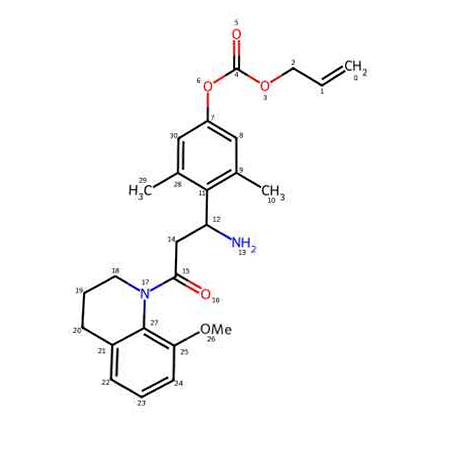 C=CCOC(=O)Oc1cc(C)c(C(N)CC(=O)N2CCCc3cccc(OC)c32)c(C)c1